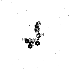 O=C(O)N[C@H](C(=O)Nc1ccccc1CC[C@@H]1CN[C@H](CNS(=O)(=O)c2ccc3cnnn3c2)CO1)C(c1ccccc1)c1ccccc1